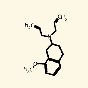 C=CCN(CC=C)C1CCc2cccc(OC)c2C1